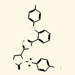 Cc1ccc(S(=O)(=O)N2C(=O)OCC2c2nnc(-c3ccccc3Nc3ccc(C(F)(F)F)cc3)o2)cc1